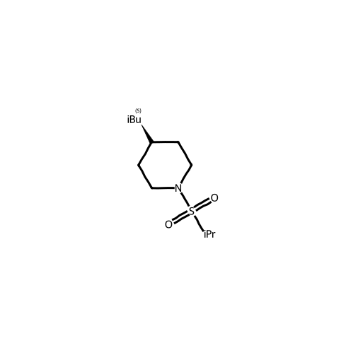 CC[C@H](C)C1CCN(S(=O)(=O)C(C)C)CC1